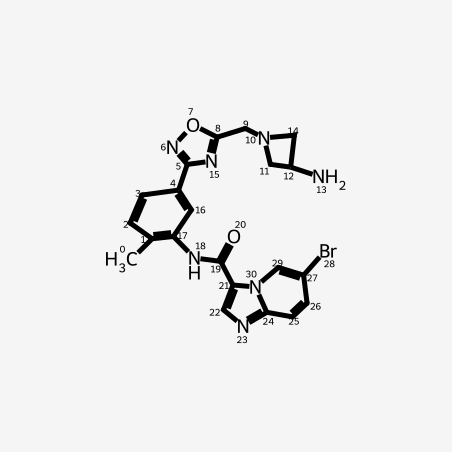 Cc1ccc(-c2noc(CN3CC(N)C3)n2)cc1NC(=O)c1cnc2ccc(Br)cn12